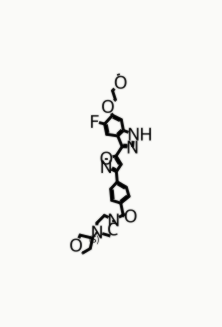 COCCOc1cc2[nH]nc(-c3cc(-c4ccc(C(=O)N5CCN([C@H]6CCOC6)CC5)cc4)no3)c2cc1F